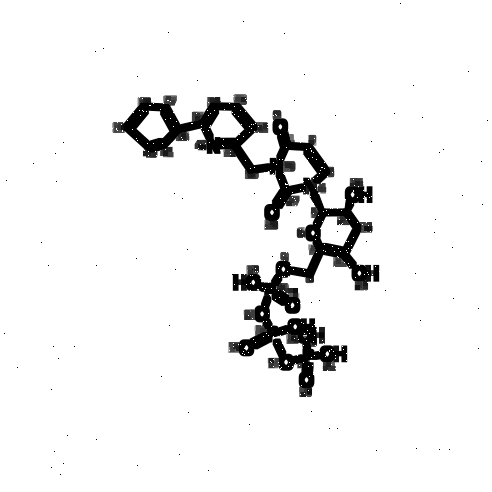 O=c1ccn([C@@H]2OC(COP(=O)(O)OP(=O)(O)OP(=O)(O)O)=C(O)C[C@@H]2O)c(=O)n1Cc1cccc(-c2ccccc2)n1